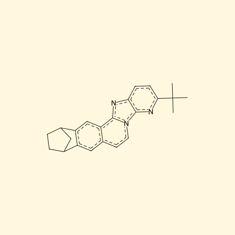 CC(C)(C)c1ccc2nc3c4cc5c(cc4ccn3c2n1)C1CCC5C1